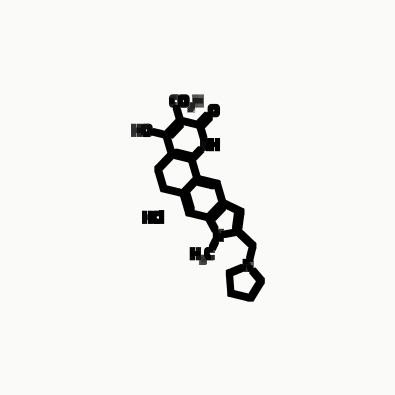 Cl.Cn1c(CN2CCCC2)cc2cc3c(cc21)CCc1c-3[nH]c(=O)c(C(=O)O)c1O